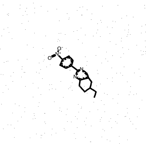 CCC1CCc2nc(-c3ccc([N+](=O)[O-])cc3)ncc2C1